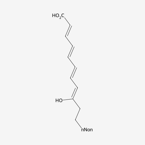 CCCCCCCCCCCC(O)=CC=CC=CC=CC(=O)O